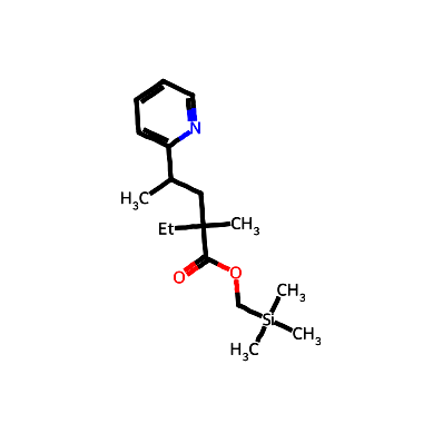 CCC(C)(CC(C)c1ccccn1)C(=O)OC[Si](C)(C)C